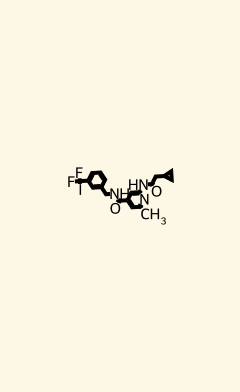 Cc1cc(C(=O)NCc2cccc(C(F)(F)I)c2)cc(NC(=O)CC2CC2)n1